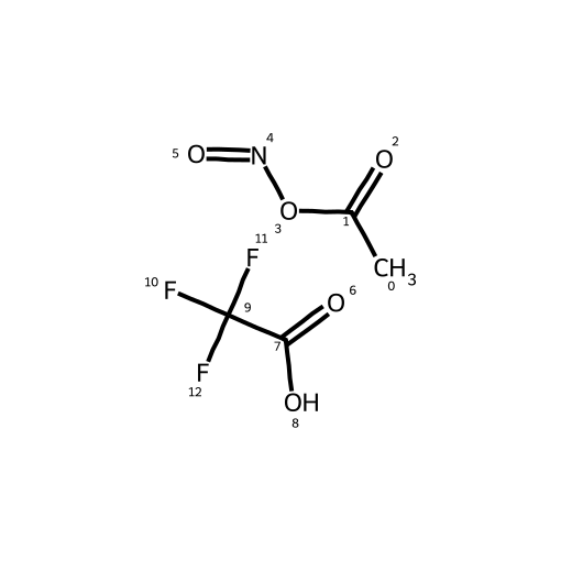 CC(=O)ON=O.O=C(O)C(F)(F)F